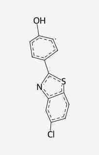 Oc1[c]cc(-c2nc3cc(Cl)ccc3s2)cc1